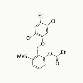 CCC(=O)Oc1cccc(SC)c1COc1cc(Cl)c(CC)cc1Cl